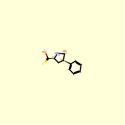 Br.OC(=S)[C@@H]1C[C@H](c2ccccc2)CN1